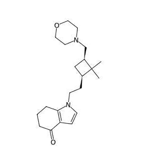 CC1(C)[C@@H](CCn2ccc3c2CCCC3=O)C[C@H]1CN1CCOCC1